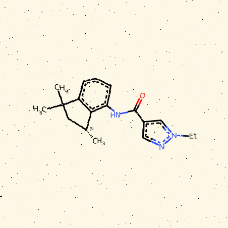 CCn1cc(C(=O)Nc2cccc3c2[C@H](C)CC3(C)C)cn1